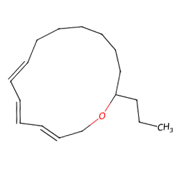 CCCC1CCCCCC/C=C/C=C/C=C/CO1